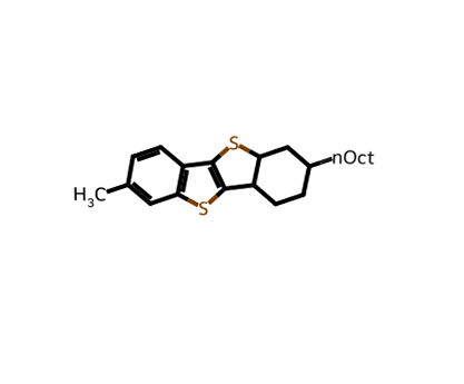 CCCCCCCCC1CCC2c3sc4cc(C)ccc4c3SC2C1